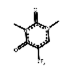 Cn1cc(C(F)(F)F)c(=O)n(C)c1=O